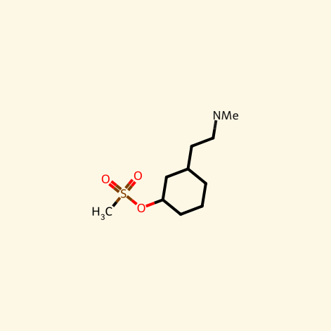 CNCCC1CCCC(OS(C)(=O)=O)C1